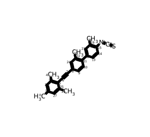 Cc1cc(C)c(C#Cc2ccc(-c3ccc(N=C=S)c(C)c3)c(C)c2)c(C)c1